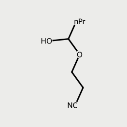 CCCC(O)OCCC#N